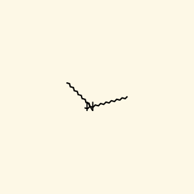 CCCCCCCCCCCCCCN(CC)CCCCCCCCCCCC